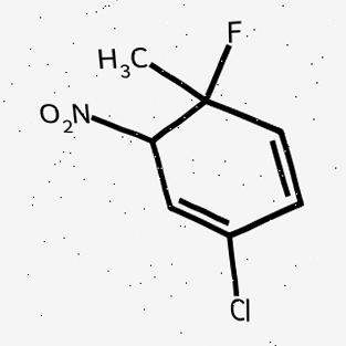 CC1(F)C=CC(Cl)=CC1[N+](=O)[O-]